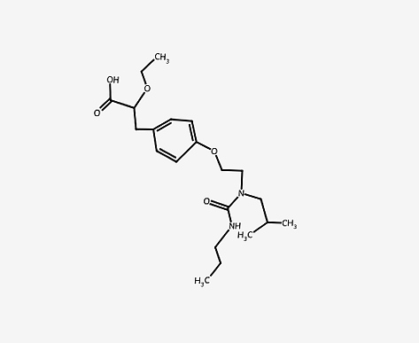 CCCNC(=O)N(CCOc1ccc(CC(OCC)C(=O)O)cc1)CC(C)C